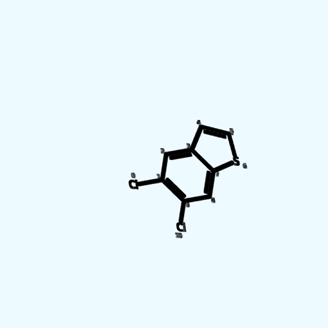 Clc1cc2c[c]sc2cc1Cl